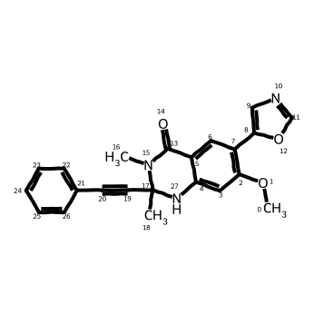 COc1cc2c(cc1-c1cnco1)C(=O)N(C)C(C)(C#Cc1ccccc1)N2